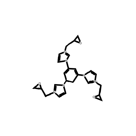 C1=C(n2cc[n+](CC3CO3)c2)C=C(n2cc[n+](CC3CO3)c2)CC1n1cc[n+](CC2CO2)c1